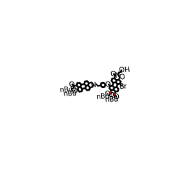 CCCCOC(=O)c1ccc2c3ccc4c5c(ccc(c6ccc(OCCCC)c1c62)c53)CN(CCc1ccc(Oc2cc(C(=O)OCCCC)c3c(C(=O)OCCCC)ccc5c6c(Br)cc7c8c(ccc(c2c35)c86)C(=O)N(CCO)C7=O)cc1)C4